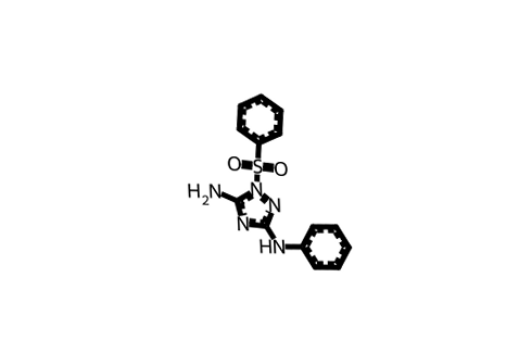 Nc1nc(Nc2ccccc2)nn1S(=O)(=O)c1ccccc1